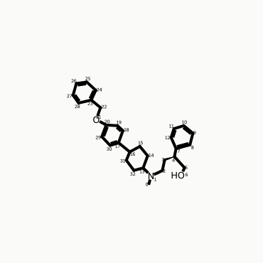 CN(CC[C@H](CO)c1ccccc1)C1CCC(c2ccc(OCc3ccccc3)cc2)CC1